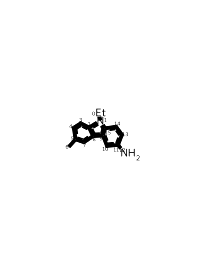 CCn1c2ccc(C)cc2c2cc(N)ccc21